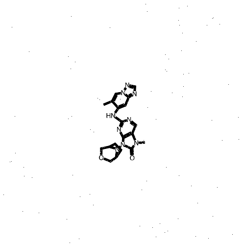 Cc1cn2ncnc2cc1Nc1ncc2c(n1)n(N1C3CCC1COC3)c(=O)n2C